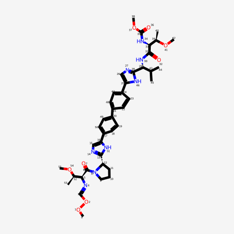 COO/C=N/[C@H](C(=O)N1CCC[C@H]1c1ncc(-c2ccc(-c3ccc(-c4cnc([C@H](NC(=O)[C@@H](NC(=O)OC)[C@@H](C)OC)C(C)C)[nH]4)cc3)cc2)[nH]1)[C@@H](C)OC